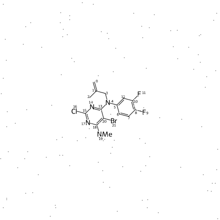 C=C(C)CN(c1ccc(F)c(F)c1)c1nc(Cl)nc(NC)c1Br